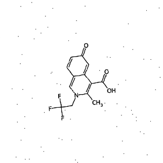 Cc1c(C(=O)O)c2cc(=O)ccc-2cn1CC(F)(F)F